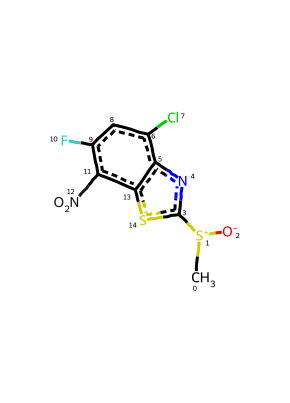 C[S+]([O-])c1nc2c(Cl)cc(F)c([N+](=O)[O-])c2s1